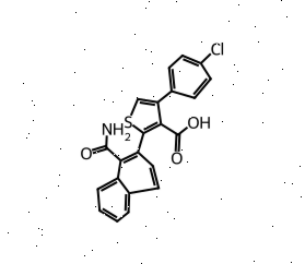 NC(=O)c1c(-c2scc(-c3ccc(Cl)cc3)c2C(=O)O)ccc2ccccc12